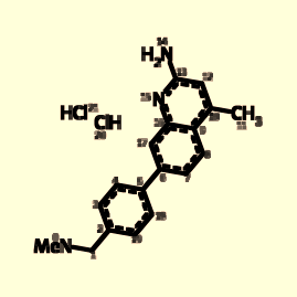 CNCc1ccc(-c2ccc3c(C)cc(N)nc3c2)cc1.Cl.Cl